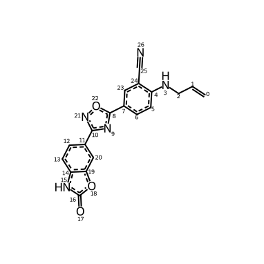 C=CCNc1ccc(-c2nc(-c3ccc4[nH]c(=O)oc4c3)no2)cc1C#N